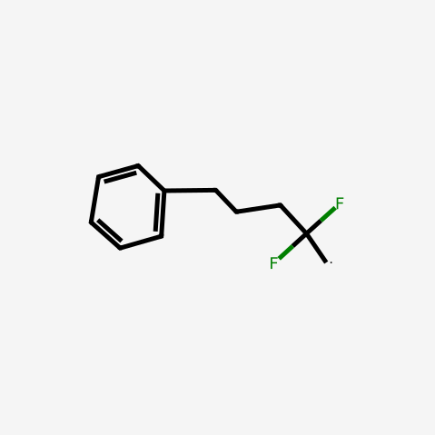 [CH2]C(F)(F)CCCc1ccccc1